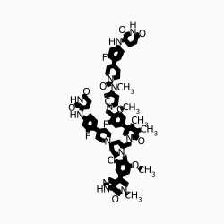 COc1cc(-c2cn(CC3CC(N4CCC(c5ccc(NC6CCC(=O)NC6=O)cc5F)CC4)CCN3Cc3c(Cl)cc(-c4cn(C)c(=O)c5[nH]ncc45)cc3OC)c(=O)c(C)c2C)cc(F)c1CN1CCC(N(C)C(=O)N2CCC(c3ccc(NC4CCC(=O)NC4=O)cc3F)CC2)CC1